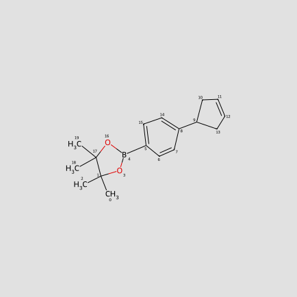 CC1(C)OB(c2ccc(C3CC=CC3)cc2)OC1(C)C